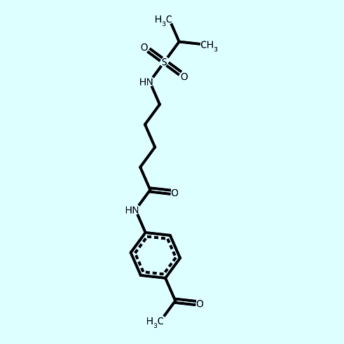 CC(=O)c1ccc(NC(=O)CCCCNS(=O)(=O)C(C)C)cc1